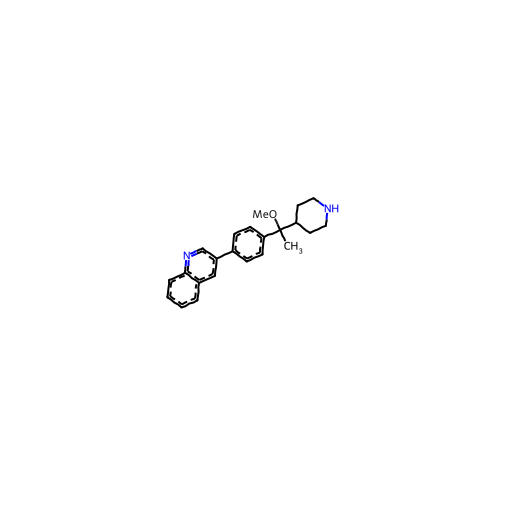 COC(C)(c1ccc(-c2cnc3ccccc3c2)cc1)C1CCNCC1